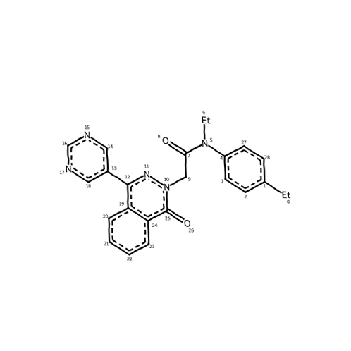 CCc1ccc(N(CC)C(=O)Cn2nc(-c3cncnc3)c3ccccc3c2=O)cc1